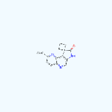 COc1ccc2ncc3c(c2n1)C1(CCC1)C(=O)N3